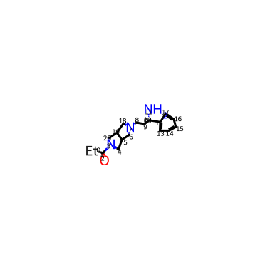 CCC(=O)N1CC2CN(CC[C@H](N)c3ccccc3)CC2C1